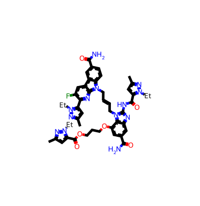 CCn1nc(C)cc1C(=O)Nc1nc2cc(C(N)=O)cc(OCCCOC(=O)c3cc(C)nn3CC)c2n1CC=CCn1c2ccc(C(N)=O)cc2c2cc(F)c(-c3cc(C)nn3CC)nc21